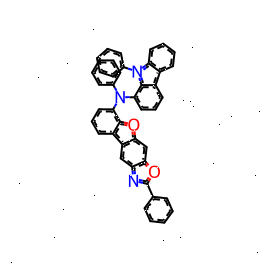 c1ccc(-c2nc3cc4c(cc3o2)oc2c(N(c3ccccc3)c3cccc5c6ccccc6n(-c6ccccc6)c35)cccc24)cc1